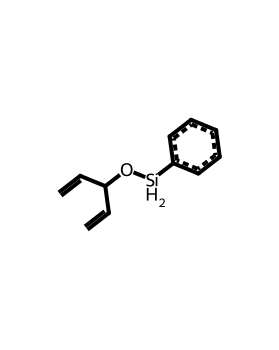 C=CC(C=C)O[SiH2]c1ccccc1